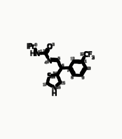 CC(C)NC(=O)N=CC(c1cccc(C(F)(F)F)c1)C1CNCS1